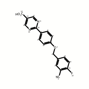 N#Cc1cc(COc2ccc(-c3ncc(C(=O)O)cn3)cc2)ccc1F